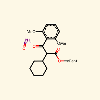 CCCCCOC(=O)C(C(=O)c1c(OC)cccc1OC)C1CCCCC1.O=[PH3]